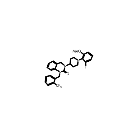 COc1cccc(F)c1N1CCC(N2Cc3ccccc3N(Cc3ccccc3C(F)(F)F)C2=O)CC1